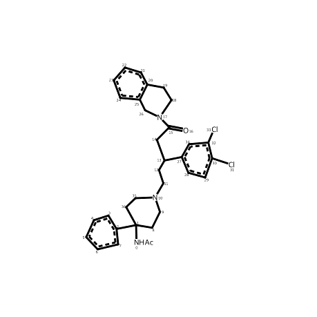 CC(=O)NC1(c2ccccc2)CCN(CCC(CC(=O)N2CCc3ccccc3C2)c2ccc(Cl)c(Cl)c2)CC1